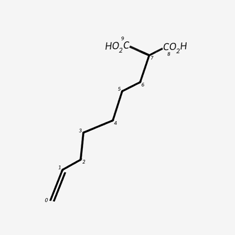 C=CCCCCCC(C(=O)O)C(=O)O